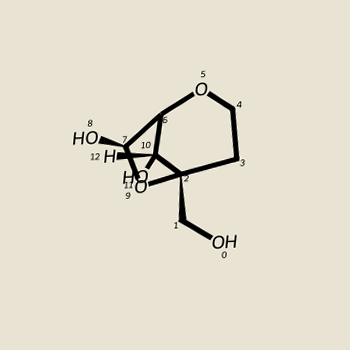 OC[C@@]12CCOC([C@H](O)O1)[C@H]2O